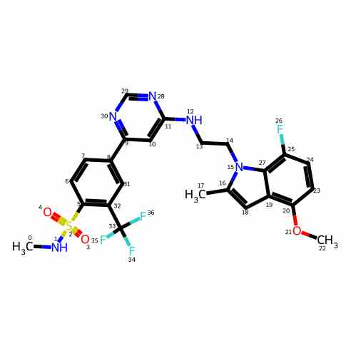 CNS(=O)(=O)c1ccc(-c2cc(NCCn3c(C)cc4c(OC)ccc(F)c43)ncn2)cc1C(F)(F)F